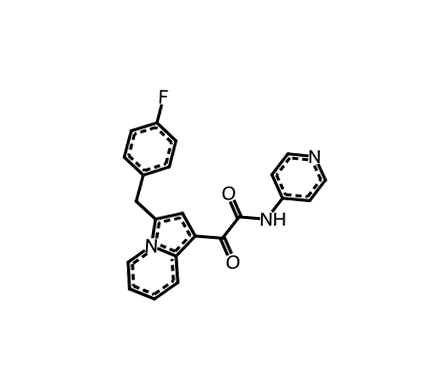 O=C(Nc1ccncc1)C(=O)c1cc(Cc2ccc(F)cc2)n2ccccc12